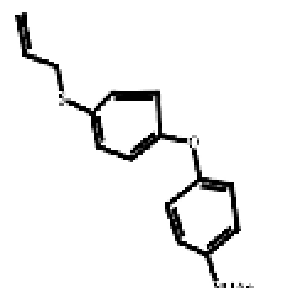 C=CCSc1ccc(Oc2ccc(NC(C)=O)cc2)cc1